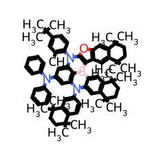 Cc1cc(C(C)(C)C)ccc1N1c2cc(N(c3ccccc3)c3ccccc3)cc3c2B(c2cc4c(cc2N3c2ccc3c(c2)C(C)(C)CCC3(C)C)C(C)(C)CCC4(C)C)c2c1oc1cc3c(cc21)C(C)(C)CCC3(C)C